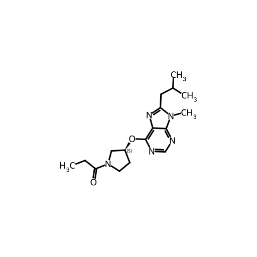 CCC(=O)N1CC[C@H](Oc2ncnc3c2nc(CC(C)C)n3C)C1